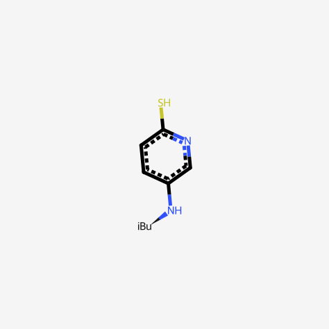 CC[C@H](C)Nc1ccc(S)nc1